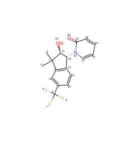 CC1(C)c2cc(C(F)(F)F)ccc2[C@@H](n2ccccc2=O)[C@@H]1O